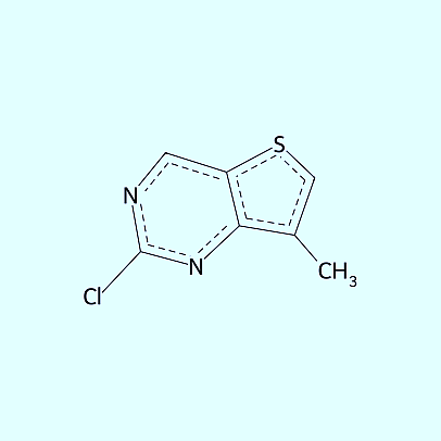 Cc1csc2cnc(Cl)nc12